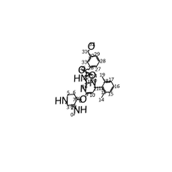 CN[C@@H]1CNCC[C@H]1Oc1cc(-c2c(C)cccc2C)nc(NS(=O)(=O)c2cccc(C=O)c2)n1